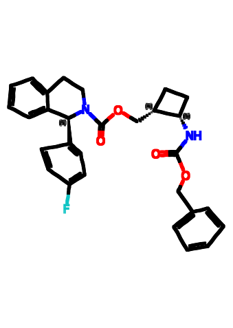 O=C(N[C@H]1CC[C@H]1COC(=O)N1CCc2ccccc2[C@@H]1c1ccc(F)cc1)OCc1ccccc1